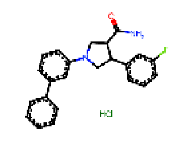 Cl.NC(=O)C1CN(c2cccc(-c3ccccc3)c2)CC1c1cccc(F)c1